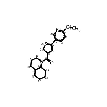 COc1ccc(C2=CC(C(=O)N3CCCC4CCCCC43)CS2)cn1